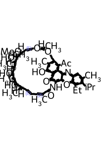 CCc1c(C(C)C)c(C)cc2nc3c4c(C(C)=O)c5c(C)c(O)c4c(=O)c(c-3oc12)NC(=O)/C(C)=C\C=C\[C@H](C)[C@H](O)[C@@H](C)[C@@H](O)[C@@H](C)[C@H](O)[C@H](C)[C@@H](OC)/C=C/O[C@@H](C)O5